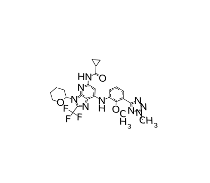 COc1c(Nc2cc(NC(=O)C3CC3)nc3c2nc(C(F)(F)F)n3C2CCCCO2)cccc1-c1nnn(C)n1